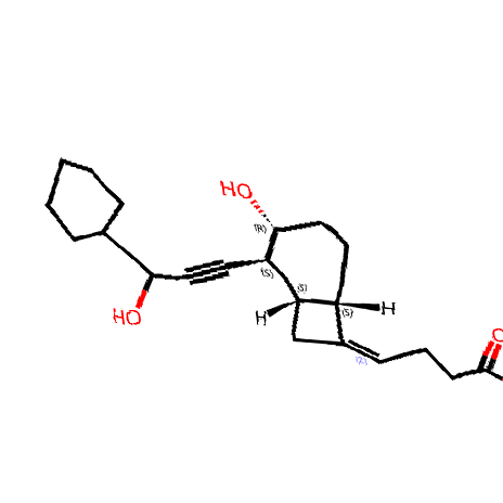 O=C(O)CC/C=C1/C[C@@H]2[C@@H](C#CC(O)C3CCCCC3)[C@H](O)CC[C@H]12